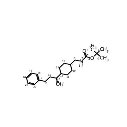 CC(C)(C)OC(=O)NCC1CCC(C(O)CCc2ccccc2)CC1